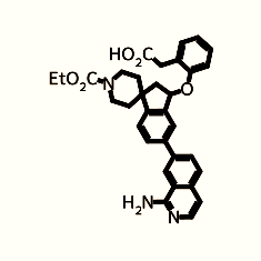 CCOC(=O)N1CCC2(CC1)CC(Oc1ccccc1CC(=O)O)c1cc(-c3ccc4ccnc(N)c4c3)ccc12